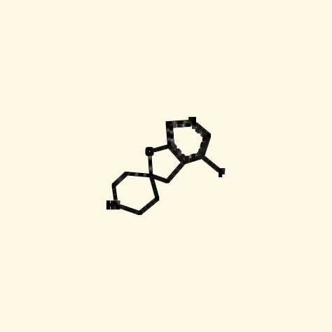 Fc1cncc2c1CC1(CCNCC1)O2